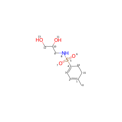 CC1=CC=C(S(=O)(=O)NCC(O)CO)CC1